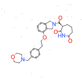 O=C1CCC[C@H](C(=O)N2Cc3cccc(OCCc4ccc(CN5CCOCC5)cc4)c3C2)C(=O)N1